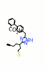 C#CCCC(CC=S)c1n[nH]c(Cc2ccc(-c3ccccc3C(=O)O)cc2)n1